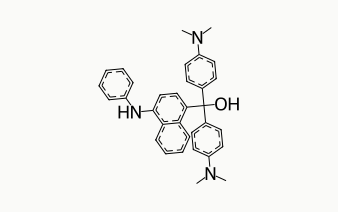 CN(C)c1ccc(C(O)(c2ccc(N(C)C)cc2)c2ccc(Nc3ccccc3)c3ccccc23)cc1